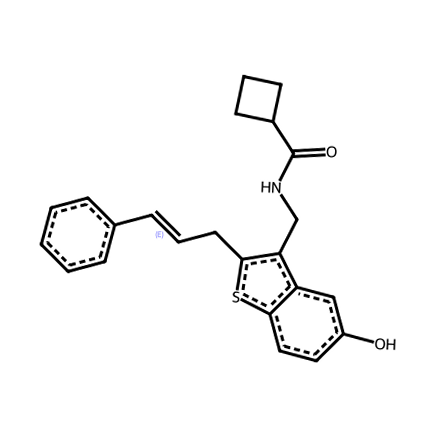 O=C(NCc1c(C/C=C/c2ccccc2)sc2ccc(O)cc12)C1CCC1